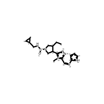 CCC1CN([S+]([O-])NCC2CC2)CC1c1nnc(/C=N\c2ccc[nH]2)n1C